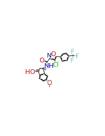 COc1ccc2c(c1)[C@@H](NC(=O)c1noc(-c3ccc(C(F)(F)F)cc3)c1Cl)C[C@@H]2O